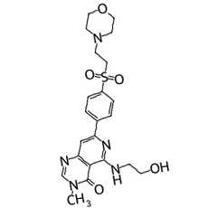 Cn1cnc2cc(-c3ccc(S(=O)(=O)CCN4CCOCC4)cc3)nc(NCCO)c2c1=O